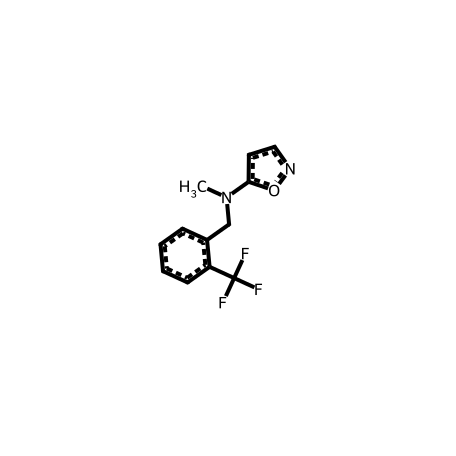 CN(Cc1ccccc1C(F)(F)F)c1ccno1